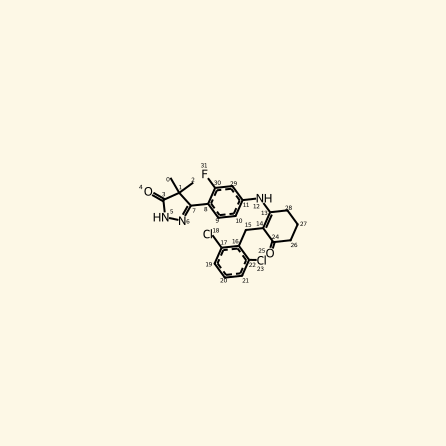 CC1(C)C(=O)NN=C1c1ccc(NC2=C(Cc3c(Cl)cccc3Cl)C(=O)CCC2)cc1F